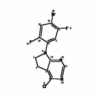 Fc1cc(N2CCc3c(Cl)ncnc32)c(F)cc1Br